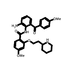 COc1ccc(C(=O)c2cccc(N)c2NC(=O)c2ccc(OC)cc2OCCC2CCCCN2)cc1